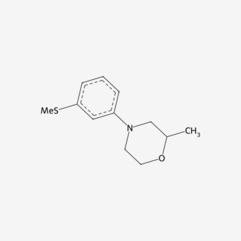 CSc1cccc(N2CCOC(C)C2)c1